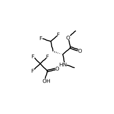 CN[C@H](CC(F)F)C(=O)OC.O=C(O)C(F)(F)F